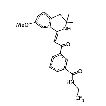 COc1ccc2c(c1)C(=CC(=O)c1cccc(C(=O)NCC(F)(F)F)c1)NC(C)(C)C2